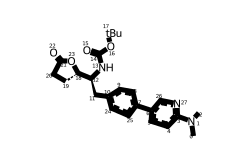 CN(C)c1ccc(-c2ccc(C[C@H](NC(=O)OC(C)(C)C)[C@@H]3CCC(=O)O3)cc2)cn1